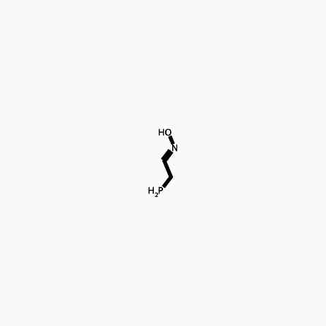 ON=CCP